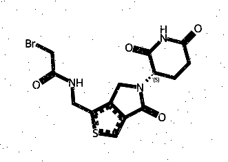 O=C(CBr)NCc1scc2c1CN([C@H]1CCC(=O)NC1=O)C2=O